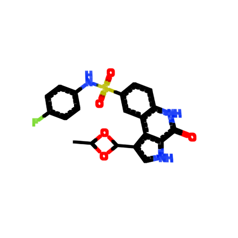 CC1OC(c2c[nH]c3c(=O)[nH]c4ccc(S(=O)(=O)Nc5ccc(F)cc5)cc4c23)O1